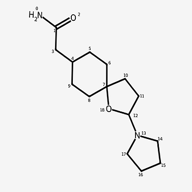 NC(=O)CC1CCC2(CC1)CCC(N1CCCC1)O2